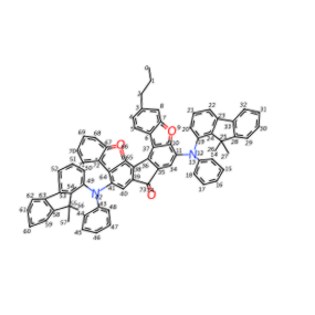 CCCc1ccc2c(c1)oc1c(N(c3ccccc3)c3cccc4c3C(C)(C)c3ccccc3-4)cc3c(c12)-c1c(cc(N(c2ccccc2)c2cccc4c2C(C)(C)c2ccccc2-4)c2c1oc1ccccc12)C3=O